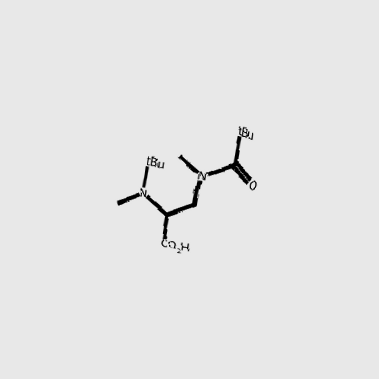 CN(CC(C(=O)O)N(C)C(C)(C)C)C(=O)C(C)(C)C